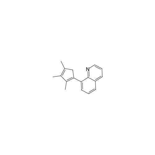 CC1=C(C)C(C)=C(c2cccc3cccnc23)C1